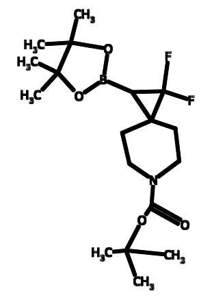 CC(C)(C)OC(=O)N1CCC2(CC1)C(B1OC(C)(C)C(C)(C)O1)C2(F)F